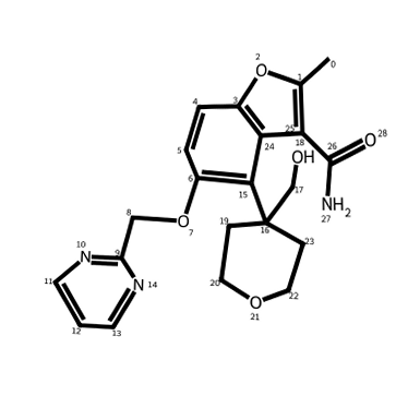 Cc1oc2ccc(OCc3ncccn3)c(C3(CO)CCOCC3)c2c1C(N)=O